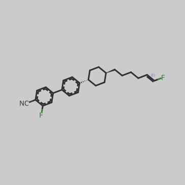 N#Cc1ccc(-c2ccc([C@H]3CC[C@H](CCCC/C=C/F)CC3)cc2)cc1F